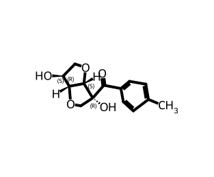 Cc1ccc(C(=O)[C@@]2(O)CO[C@@H]3[C@@H](O)CO[C@@H]32)cc1